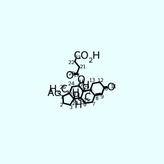 CC(=O)[C@H]1CC[C@H]2[C@@H]3CCC4=CC(=O)CC[C@]4(C)[C@H]3[C@H](OC(=O)CCC(=O)O)C[C@]12C